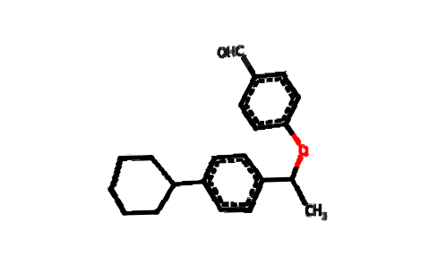 CC(Oc1ccc(C=O)cc1)c1ccc(C2CCCCC2)cc1